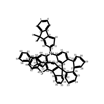 CC1(C)c2ccccc2-c2ccc(N(c3ccc4c(c3)C3(c5ccccc5-c5ccccc5-4)c4ccccc4-c4c3ccc3c4sc4ccccc43)c3ccc4oc5ccccc5c4c3)cc21